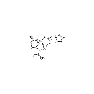 NC(=O)C1OC2(CCN(Cc3cocn3)CC2)c2cc(Cl)ccc21